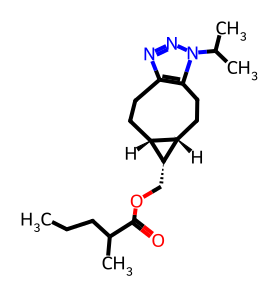 CCCC(C)C(=O)OC[C@@H]1[C@@H]2CCc3nnn(C(C)C)c3CC[C@@H]21